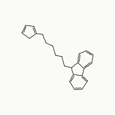 C1=CCC(CCCCCCC2c3ccccc3-c3ccccc32)=C1